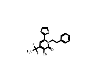 N#Cc1c(C(F)(F)C(F)(F)F)cc(-c2nccs2)n(CCc2ccccc2)c1=O